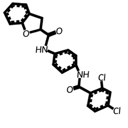 O=C(Nc1ccc(NC(=O)C2Cc3ccccc3O2)cc1)c1ccc(Cl)cc1Cl